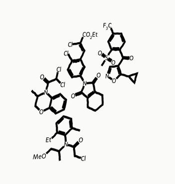 CC1COc2ccccc2N1C(=O)C(Cl)Cl.CCOC(=O)/C(Cl)=C/c1cc(N2C(=O)C3=C(CCCC3)C2=O)ccc1Cl.CCc1cccc(C)c1N(C(=O)CCl)C(C)COC.CS(=O)(=O)c1cc(C(F)(F)F)ccc1C(=O)c1cnoc1C1CC1